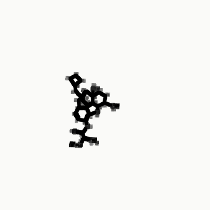 C=C(OC)C(=O)Oc1ccc2c3c1OC1C(O)CCC4(O)C(C2)N(CC2CCC2)CCC314